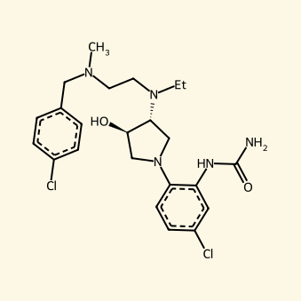 CCN(CCN(C)Cc1ccc(Cl)cc1)[C@@H]1CN(c2ccc(Cl)cc2NC(N)=O)C[C@H]1O